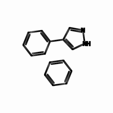 c1ccc(-c2cn[nH]c2)cc1.c1ccccc1